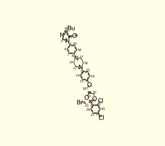 CCC(C)n1ncn(-c2ccc(N3CCN(c4ccc(OC[C@@H]5CO[C@@](CBr)(c6ccc(Cl)cc6Cl)O5)cc4)CC3)cc2)c1=O